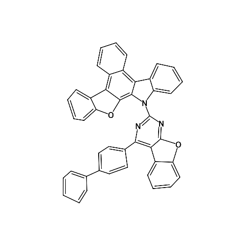 c1ccc(-c2ccc(-c3nc(-n4c5ccccc5c5c6ccccc6c6c7ccccc7oc6c54)nc4oc5ccccc5c34)cc2)cc1